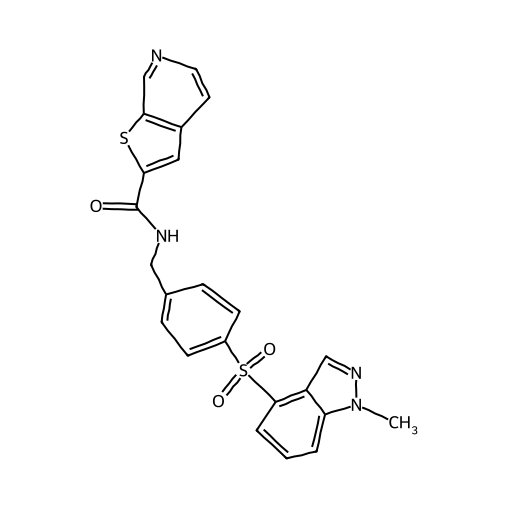 Cn1ncc2c(S(=O)(=O)c3ccc(CNC(=O)c4cc5ccncc5s4)cc3)cccc21